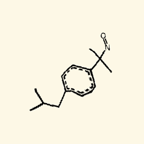 CC(C)Cc1ccc(C(C)(C)N=O)cc1